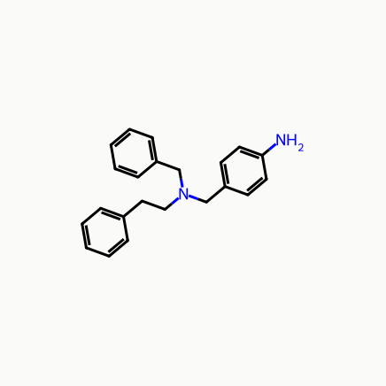 Nc1ccc(CN(CCc2ccccc2)Cc2ccccc2)cc1